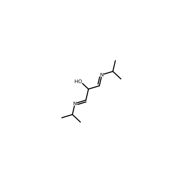 CC(C)N=CC(O)C=NC(C)C